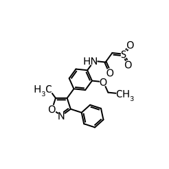 CCOc1cc(-c2c(-c3ccccc3)noc2C)ccc1NC(=O)C=S(=O)=O